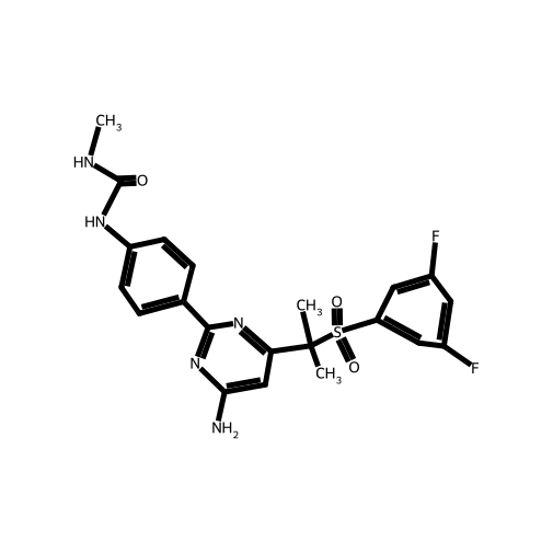 CNC(=O)Nc1ccc(-c2nc(N)cc(C(C)(C)S(=O)(=O)c3cc(F)cc(F)c3)n2)cc1